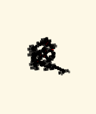 CC(=O)N[C@H]1[C@H](O[C@@H]2c3ccc(c(Cl)c3)Oc3cc4cc(c3O[C@@H]3O[C@H](CO)[C@@H](O)[C@H](O)[C@H]3NC(=O)CCCCCCCC(C)C)Oc3ccc(cc3Cl)C[C@H]3NC(=O)[C@H](N)c5ccc(O)c(c5)Oc5cc(O)cc(c5)[C@H](NC3=O)C(=O)N[C@H]4C(=O)N[C@H]3C(=O)N[C@@H]2C(=O)N[C@@H](C(=O)O)c2cc(O)cc(O[C@H]4O[C@H](COC(=O)CCC(=O)NC(P(=O)(O)O)P(=O)(O)O)[C@@H](O)[C@H](O)[C@@H]4O)c2-c2cc3ccc2O)O[C@H](CO)[C@@H](O)[C@@H]1O